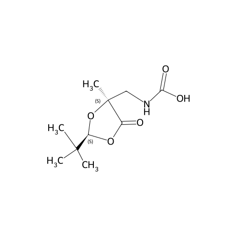 CC(C)(C)[C@@H]1OC(=O)[C@](C)(CNC(=O)O)O1